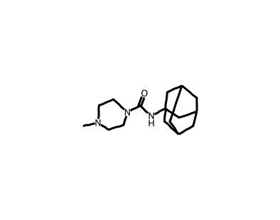 CN1CCN(C(=O)NC23CC4CC(CC(C4)C2)C3)CC1